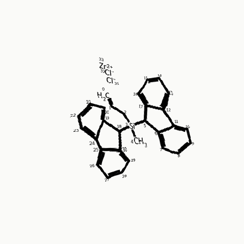 C=CC[Si](C)(C1c2ccccc2-c2ccccc21)C1c2ccccc2-c2ccccc21.[Cl-].[Cl-].[Zr+2]